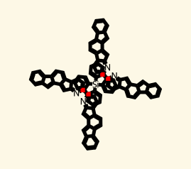 C1=c2c(ccc3c2=Cc2nc(-c4ccccc4[Si](c4ccccc4-c4ccc5c(n4)C=c4c-5ccc5c4=Cc4ccccc4-5)(c4ccccc4-c4ccc5c(n4)C=c4c-5ccc5c4=Cc4ccccc4-5)c4ccccc4-c4ccc5c(n4)C=c4c-5ccc5c4=Cc4ccccc4-5)ccc2-3)-c2ccccc21